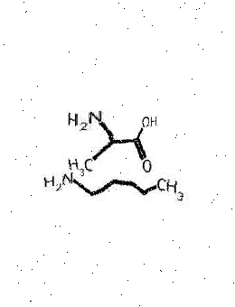 CC(N)C(=O)O.CCCCN